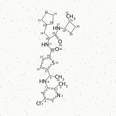 Cc1ncc(Cl)cc1NC(C)c1ccc(C(=O)NC(CC2CCCC2)C(=O)NC2CCC2C)s1